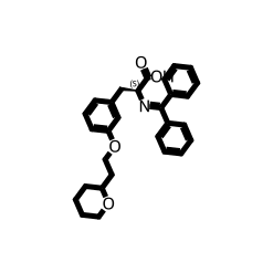 O=C(O)[C@H](Cc1cccc(OCCC2CCCCO2)c1)N=C(c1ccccc1)c1ccccc1